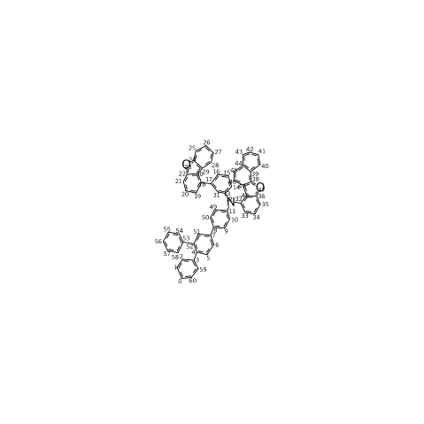 c1ccc(-c2ccc(-c3ccc(N(c4cccc(-c5cccc6oc7ccccc7c56)c4)c4cccc5oc6c7ccccc7ccc6c45)cc3)cc2-c2ccccc2)cc1